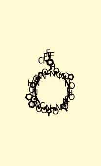 CC[C@H](C)[C@@H]1NC(=O)[C@H](CC(C)C)N(C)C(=O)C[C@@H](C(=O)N2CCCCC2)N(C)C(=O)[C@H](C2CCCCC2)N(C)C(=O)C2(CCCC2)NC(=O)[C@@H]2CCCN2C(=O)[C@H](CCc2ccc(C(F)(F)F)c(Cl)c2)NC(=O)CN(C)C(=O)[C@H](C2CCCC2)N(C)C(=O)CN(C)C(=O)CN(C)C1=O